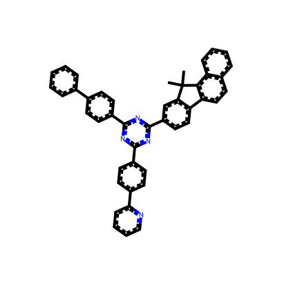 CC1(C)c2cc(-c3nc(-c4ccc(-c5ccccc5)cc4)nc(-c4ccc(-c5ccccn5)cc4)n3)ccc2-c2ccc3ccccc3c21